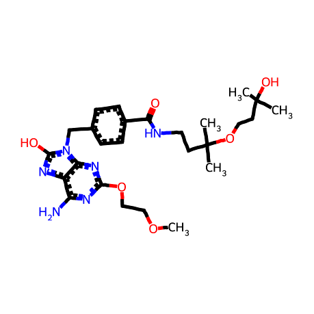 COCCOc1nc(N)c2nc(O)n(Cc3ccc(C(=O)NCCC(C)(C)OCCC(C)(C)O)cc3)c2n1